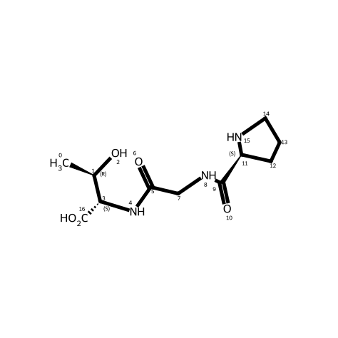 C[C@@H](O)[C@H](NC(=O)CNC(=O)[C@@H]1CCCN1)C(=O)O